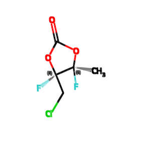 C[C@@]1(F)OC(=O)O[C@]1(F)CCl